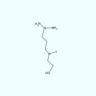 NN(N)CCCN(I)CCO